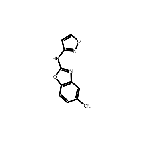 FC(F)(F)c1ccc2oc(Nc3ccon3)nc2c1